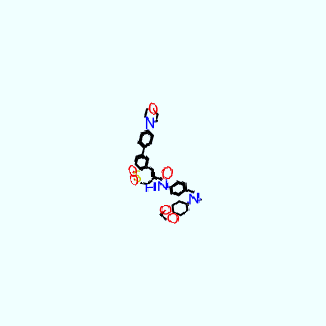 CN(Cc1ccc(NC(=O)C2=Cc3cc(-c4ccc(N5CCOCC5)cc4)ccc3S(=O)(=O)CC2)cc1)C1CCC2(CC1)OCCO2